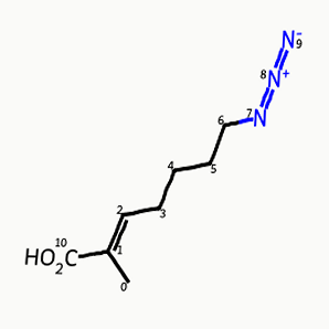 CC(=CCCCCN=[N+]=[N-])C(=O)O